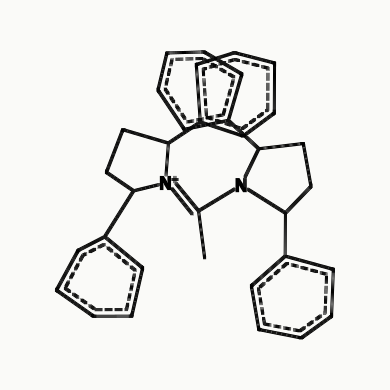 CC(N1C(c2ccccc2)CCC1c1ccccc1)=[N+]1C(c2ccccc2)CCC1c1ccccc1